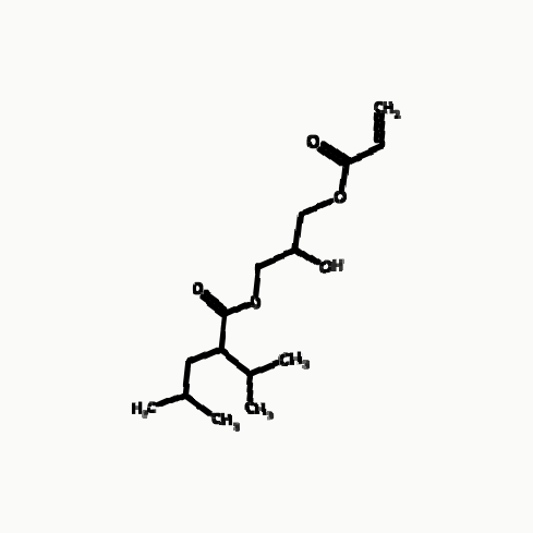 C=CC(=O)OCC(O)COC(=O)C(CC(C)C)C(C)C